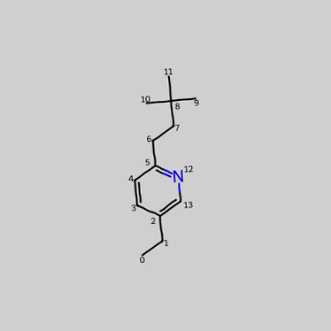 CCc1ccc(CCC(C)(C)C)nc1